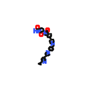 O=C1CCC(N2Cc3cc(C4CCN(Cc5ccc(N6CCC(c7ccc(C8CC8)nc7)CC6)cc5)CC4)ccc3C2=O)C(=O)N1